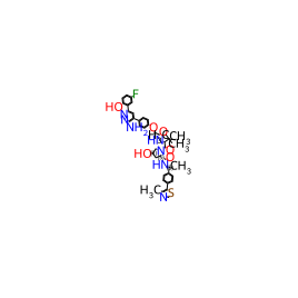 Cc1ncsc1-c1ccc([C@H](C)NC(=O)[C@@H]2C[C@@H](O)CN2C(=O)C(NC(=O)COc2ccc(-c3cc(-c4cc(F)ccc4O)nnc3N)cc2)C(C)(C)C)cc1